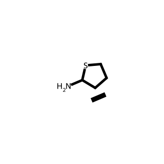 C=C.NC1CCCS1